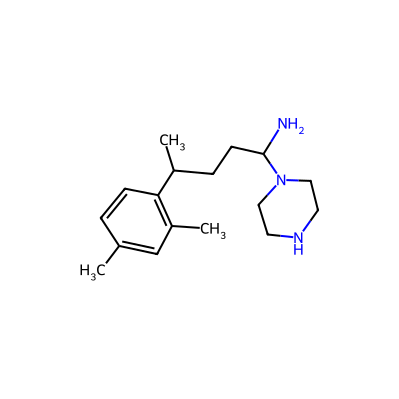 Cc1ccc(C(C)CCC(N)N2CCNCC2)c(C)c1